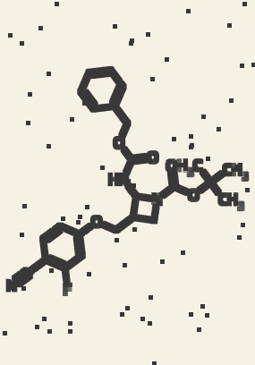 CC(C)(C)OC(=O)N1CC(COc2ccc(C#N)c(F)c2)C1NC(=O)OCc1ccccc1